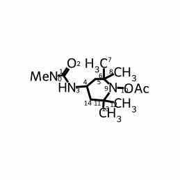 CNC(=O)NC1CC(C)(C)N(OC(C)=O)C(C)(C)C1